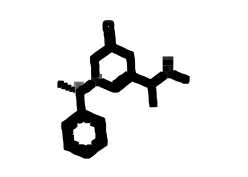 CNC(C)C1=CN([C@@H](C)c2ccccc2)CC(=O)C1